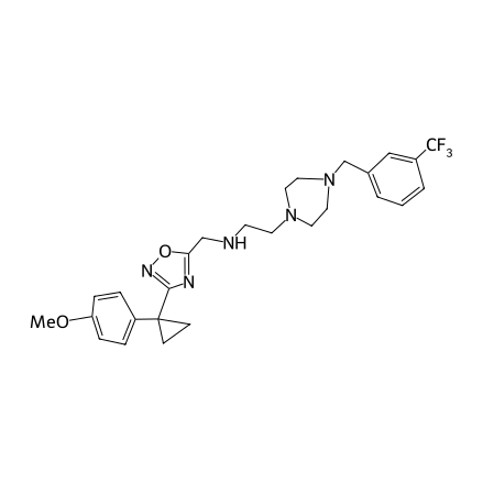 COc1ccc(C2(c3noc(CNCCN4CCN(Cc5cccc(C(F)(F)F)c5)CC4)n3)CC2)cc1